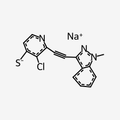 Cn1nc(C#Cc2nccc([S-])c2Cl)c2ccccc21.[Na+]